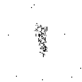 FC(F)c1nnc(-c2cnc(NC3(c4ccccc4Cl)CC3)nc2)o1